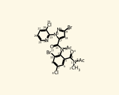 CC(=O)N(C)C(=O)c1cc(Cl)cc(Br)c1N(C(C)=O)C(=O)c1cc(Br)nn1-c1ncccc1Cl